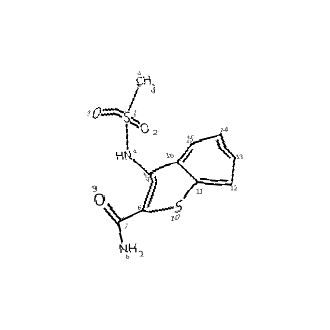 CS(=O)(=O)Nc1c(C(N)=O)sc2ccccc12